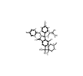 CCC(O)(c1cc(F)c2c(c1)C(=O)N(Cc1ncc(C)cn1)[C@@]2(OC[C@@H](C)O)c1ccc(Cl)cc1)C1(F)CCN(C)CC1